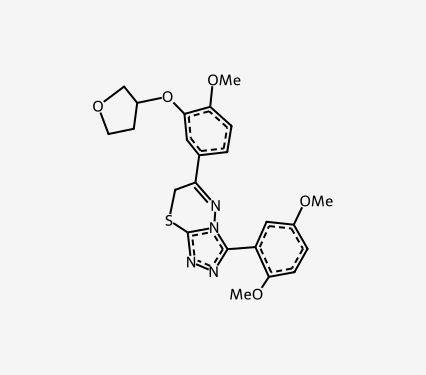 COc1ccc(OC)c(-c2nnc3n2N=C(c2ccc(OC)c(OC4CCOC4)c2)CS3)c1